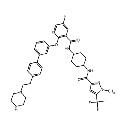 Cn1nc(C(=O)NC2CCC(NC(=O)c3cc(F)cnc3Oc3cccc(-c4ccc(CCN5CCNCC5)cc4)c3)CC2)cc1C(F)(F)F